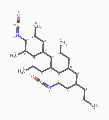 CCCC(CCN=C=O)CC(CCC)CC(CCC)CC(CCC)CC(C)CN=C=O